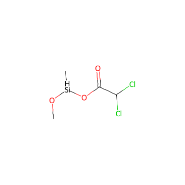 CO[SiH](C)OC(=O)C(Cl)Cl